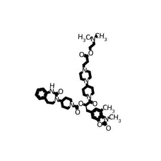 Cc1cc(C[C@@H](OC(=O)N2CCC(N3CCc4ccccc4NC3=O)CC2)C(=O)N2CCC(N3CCN(CCC(=O)OCCN(C)C)CC3)CC2)cc2oc(=O)n(C)c12